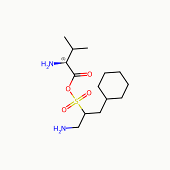 CC(C)[C@H](N)C(=O)OS(=O)(=O)C(CN)CC1CCCCC1